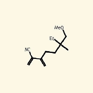 C=C(C#N)C(=C)CCC(C)(CC)COC